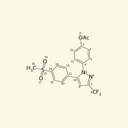 CC(=O)Oc1ccc(-n2nc(C(F)(F)F)cc2-c2ccc(S(C)(=O)=O)cc2)cc1